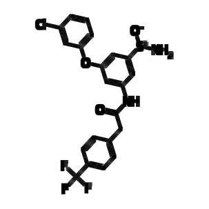 N[S+]([O-])c1cc(NC(=O)Cc2ccc(C(F)(F)F)cc2)cc(Oc2cccc(Cl)c2)c1